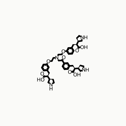 O=C(CN(CCOc1cccc(C[C@H](C(=O)O)[C@H]2CCNC2)c1)CCOc1cccc(C[C@H](C(=O)O)[C@H]2CCNC2)c1)c1cccc(C[C@H](C(=O)O)[C@H]2CCNC2)c1